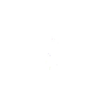 CC(=O)c1ccc(C(F)(F)F)nc1C